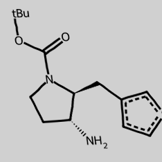 CC(C)(C)OC(=O)N1CC[C@@H](N)[C@@H]1Cc1ccsc1